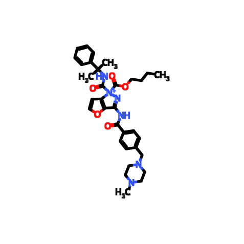 CCCCOC(=O)[N+]1(C(=O)NC(C)(C)c2ccccc2)N=C(NC(=O)c2ccc(CN3CCN(C)CC3)cc2)c2occc21